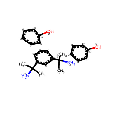 CC(C)(N)c1cccc(C(C)(C)N)c1.Oc1ccccc1.Oc1ccccc1